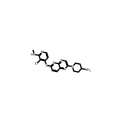 CNc1nccc(Sc2ccc3nc(N4CCC(N)CC4)cnc3n2)c1Cl